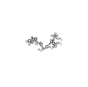 CC[C@@H]1[C@H](F)C(=O)N[C@@H]1COc1ncc(C#C[C@H]2CC[C@H](CN(C)CCN3CCO[C@H](CCNc4cccc5c4C(=O)N(C4CCC(=O)NC4=O)C5=O)C3)CC2)c2cc(C(N)=O)c(OC)cc12